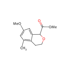 COC(=O)C1OCCc2c(C)cc(OC)cc21